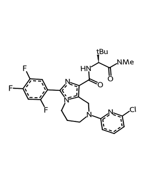 CNC(=O)[C@@H](NC(=O)c1nc(-c2cc(F)c(F)cc2F)n2c1CN(c1cccc(Cl)n1)CCC2)C(C)(C)C